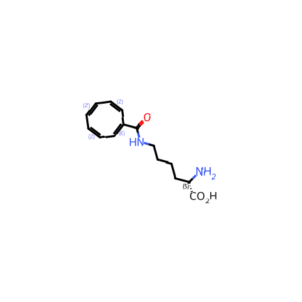 N[C@@H](CCCCNC(=O)C1=C/C=C\C=C/C=C\1)C(=O)O